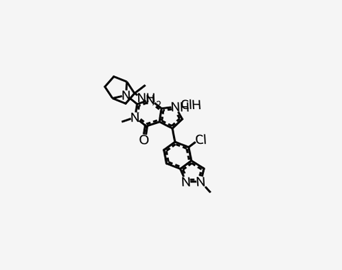 Cl.Cn1cc2c(Cl)c(-c3c[nH]c4nc(N5C6CCC5C(C)(N)C6)n(C)c(=O)c34)ccc2n1